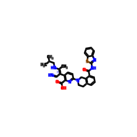 C/C(NCC(C)C)=C(/C=N)c1ccc(N2CCc3cccc(C(=O)Nc4nc5ccccc5s4)c3C2)nc1C(=O)O